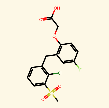 CS(=O)(=O)c1cccc(Cc2cc(F)ccc2OCC(=O)O)c1Cl